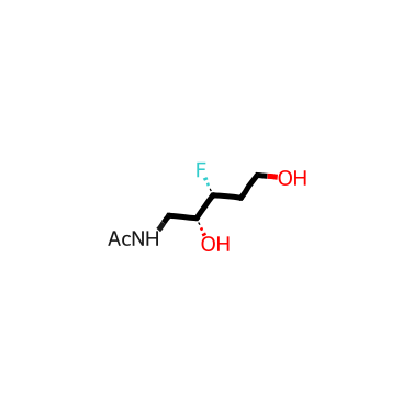 CC(=O)NC[C@@H](O)[C@H](F)CCO